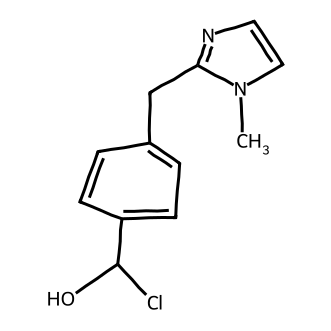 Cn1ccnc1Cc1ccc(C(O)Cl)cc1